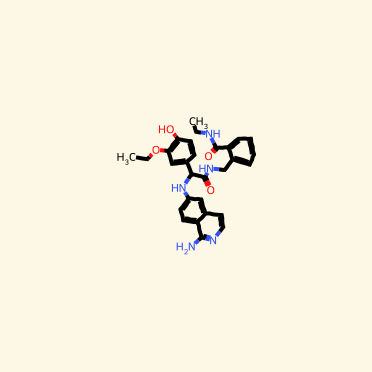 CCNC(=O)c1ccccc1CNC(=O)C(Nc1ccc2c(N)nccc2c1)c1ccc(O)c(OCC)c1